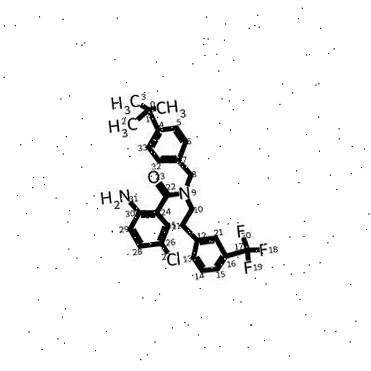 CC(C)(C)c1ccc(CN(CCc2cccc(C(F)(F)F)c2)C(=O)c2cc(Cl)ccc2N)cc1